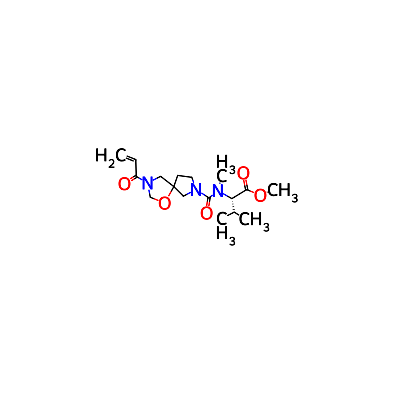 C=CC(=O)N1COC2(CCN(C(=O)N(C)[C@H](C(=O)OC)C(C)C)C2)C1